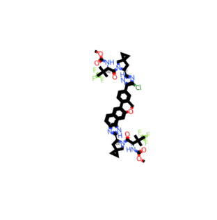 COC(=O)N[C@H](C(=O)N1CC2(CC2)C[C@H]1c1nc(Cl)c(-c2ccc3c(c2)COc2cc4c(ccc5nc([C@@H]6CC7(CC7)CN6C(=O)[C@@H](NC(=O)OC)C(C)(C)C(F)(F)F)[nH]c54)cc2-3)[nH]1)C(C)(C)C(F)(F)F